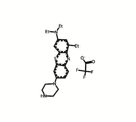 CCc1cc(N(CC)CC)cc2[s+]c3cc(N4CCNCC4)ccc3nc12.O=C([O-])C(F)(F)F